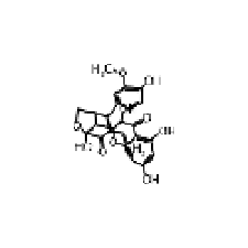 C=CC1C(=O)C2(O)OCC(C1c1ccc(O)c(OC)c1)C2C1Oc2cc(O)cc(O)c2C(=O)C1O